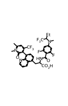 CCC(N(C)c1cc(F)c(C(=O)NC(Cc2ccc(-c3c(C(F)(F)F)cc(C)n(C)c3=O)c3ncccc23)C(=O)O)c(F)c1)C(F)(F)F